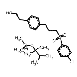 CC(C)C(C)(C)O[SiH](C)C.O=S(=O)(CCCc1ccc(CCO)cc1)c1ccc(Cl)cc1